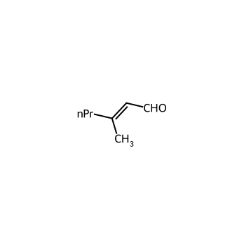 [CH2]CCC(C)=CC=O